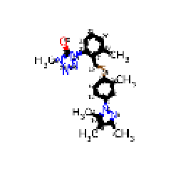 Cc1cc(-n2nc(C)c(C)c2C)ccc1SCc1c(C)cccc1-n1nnn(C)c1=O